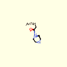 CC(=O)NCC(=O)N1CC[N]CC1